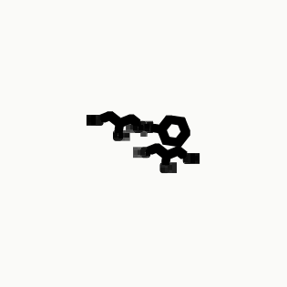 O=C(O)C1CCCCC1.OCC(O)CO.OCC(O)CO